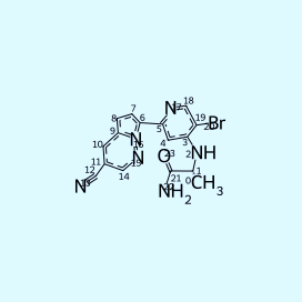 C[C@@H](Nc1cc(-c2ccc3cc(C#N)cnn23)ncc1Br)C(N)=O